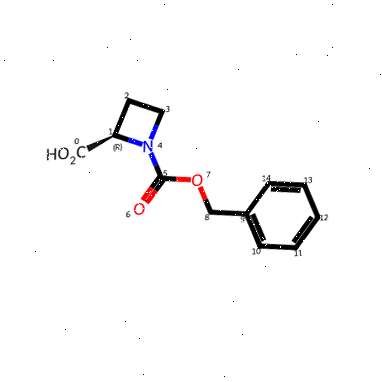 O=C(O)[C@H]1CCN1C(=O)OCc1ccccc1